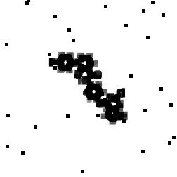 O=C(Nc1ccc(Oc2nc(Cl)nc3[nH]ccc23)cc1)c1cccn(-c2ccc(F)cc2)c1=O